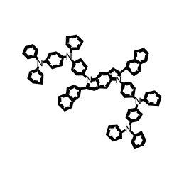 c1ccc(N(c2ccccc2)c2ccc(N(c3ccccc3)c3ccc(-n4c(-c5ccc6ccccc6c5)cc5cc6c(cc(-c7ccc8ccccc8c7)n6-c6ccc(N(c7ccccc7)c7ccc(N(c8ccccc8)c8ccccc8)cc7)cc6)cc54)cc3)cc2)cc1